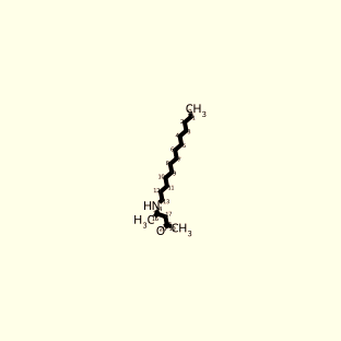 CCCCCCCCCCCCCCNC(C)CC(C)=O